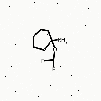 NC1(OC(F)F)CCCCC1